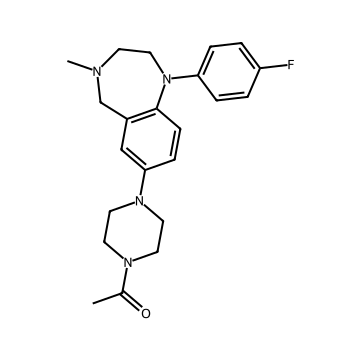 CC(=O)N1CCN(c2ccc3c(c2)CN(C)CCN3c2ccc(F)cc2)CC1